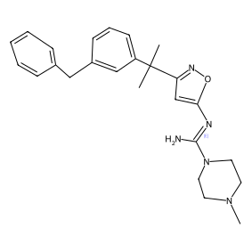 CN1CCN(/C(N)=N/c2cc(C(C)(C)c3cccc(Cc4ccccc4)c3)no2)CC1